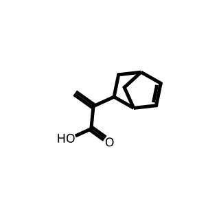 C=C(C(=O)O)C1CC2C=CC1C2